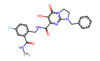 CNC(=O)c1cc(F)ccc1CNC(=O)c1nc2n(c(=O)c1O)CCN2Cc1ccccc1